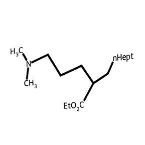 CCCCCCCCC(CCCN(C)C)C(=O)OCC